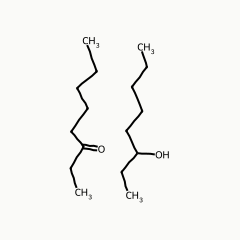 CCCCCC(=O)CC.CCCCCC(O)CC